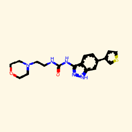 O=C(NCCN1CCOCC1)Nc1n[nH]c2cc(-c3ccsc3)ccc12